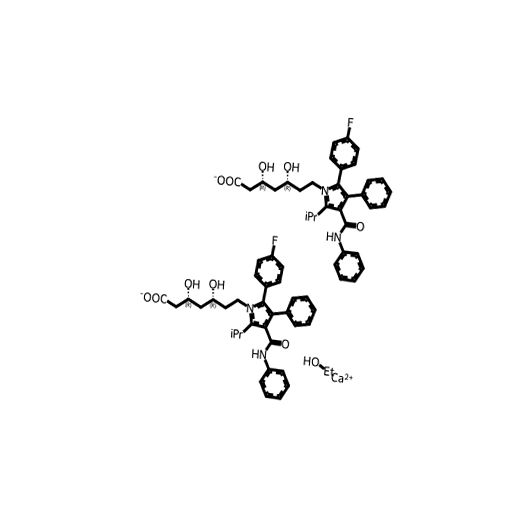 CC(C)c1c(C(=O)Nc2ccccc2)c(-c2ccccc2)c(-c2ccc(F)cc2)n1CC[C@@H](O)C[C@@H](O)CC(=O)[O-].CC(C)c1c(C(=O)Nc2ccccc2)c(-c2ccccc2)c(-c2ccc(F)cc2)n1CC[C@@H](O)C[C@@H](O)CC(=O)[O-].CCO.[Ca+2]